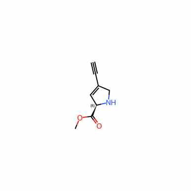 C#CC1=C[C@H](C(=O)OC)NC1